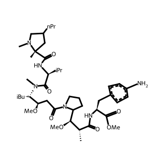 CCCC1CN(C)[C@@](C)(C(=O)N[C@H](C(=O)N(C)[C@@H]([C@@H](C)CC)[C@@H](CC(=O)N2CCCC2[C@H](OC)[C@@H](C)C(=O)N[C@@H](Cc2ccc(N)cc2)C(=O)OC)OC)C(C)C)C1